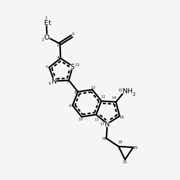 C=C(OCC)c1cnc(-c2ccc3c(c2)c(N)cn3CC2CC2)s1